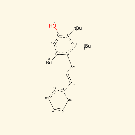 CC(C)(C)c1cc(O)c(C(C)(C)C)c(C(C)(C)C)c1CC=CC1C=CC=CC1